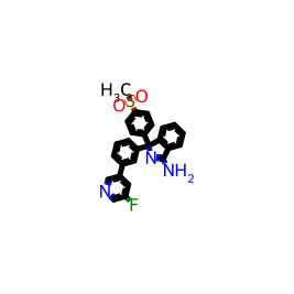 CS(=O)(=O)c1ccc(C2(c3cccc(-c4cncc(F)c4)c3)N=C(N)c3ccccc32)cc1